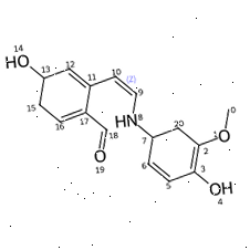 COC1=C(O)C=CC(N/C=C\C2=CC(O)CC=C2C=O)C1